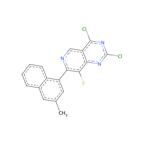 Cc1cc(-c2ncc3c(Cl)nc(Cl)nc3c2F)c2ccccc2c1